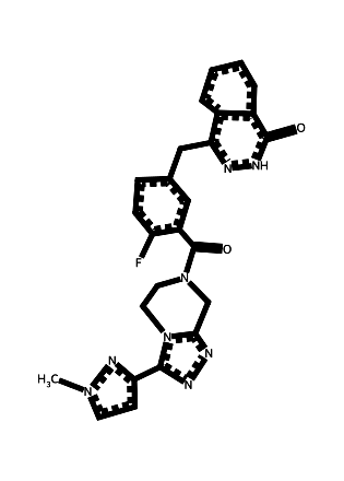 Cn1ccc(-c2nnc3n2CCN(C(=O)c2cc(Cc4n[nH]c(=O)c5ccccc45)ccc2F)C3)n1